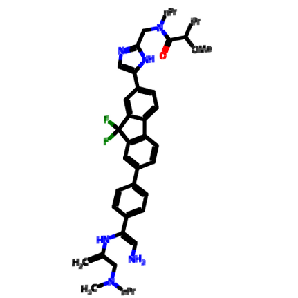 C=C(CN(C)CCC)N/C(=C\N)c1ccc(-c2ccc3c(c2)C(F)(F)c2cc(-c4cnc(CN(CCC)C(=O)C(OC)C(C)C)[nH]4)ccc2-3)cc1